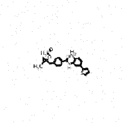 CC1CC1(Cc1ccc(C(=O)Nc2cc(-c3cccs3)ccc2N)cc1)O[PH2]=O